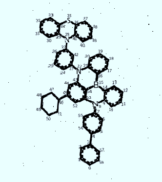 c1ccc(-c2ccc(N3c4ccccc4B4c5ccccc5N(c5cccc(N6c7ccccc7Sc7ccccc76)c5)c5cc(C6CCCCC6)cc3c54)cc2)cc1